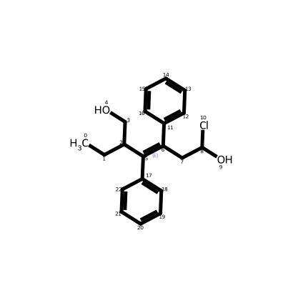 CCC(CO)/C(=C(/CC(O)Cl)c1ccccc1)c1ccccc1